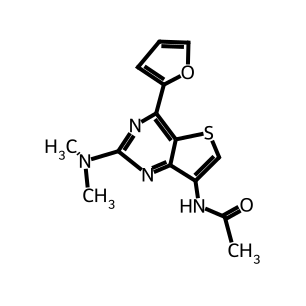 CC(=O)Nc1csc2c(-c3ccco3)nc(N(C)C)nc12